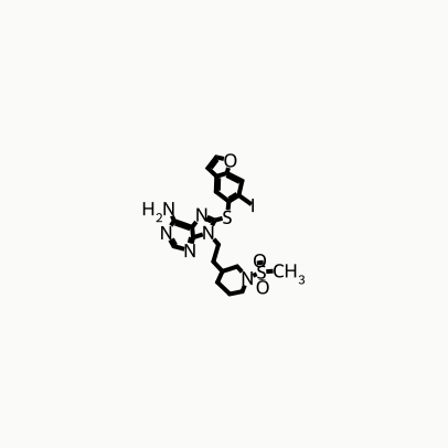 CS(=O)(=O)N1CCCC(CCn2c(Sc3cc4ccoc4cc3I)nc3c(N)ncnc32)C1